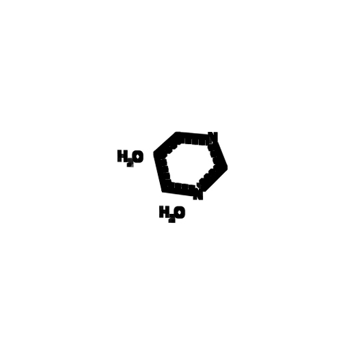 O.O.c1cncnc1